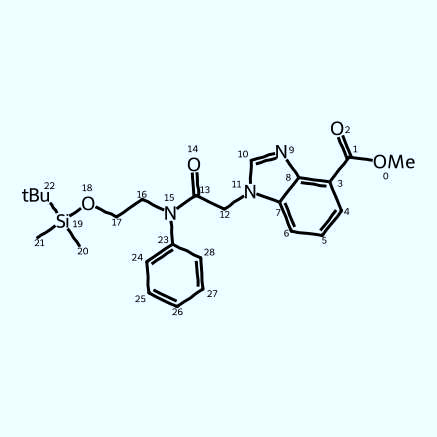 COC(=O)c1cccc2c1ncn2CC(=O)N(CCO[Si](C)(C)C(C)(C)C)c1ccccc1